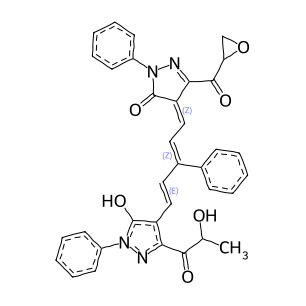 CC(O)C(=O)c1nn(-c2ccccc2)c(O)c1/C=C/C(=C/C=C1\C(=O)N(c2ccccc2)N=C1C(=O)C1CO1)c1ccccc1